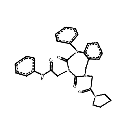 O=C(CN1C(=O)N(CC(=O)N2CCCC2)c2ccccc2N(c2ccccc2)C1=O)Nc1ccccc1